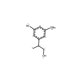 C[C](CO)c1cc(C#N)cc(OCC(C)C)c1